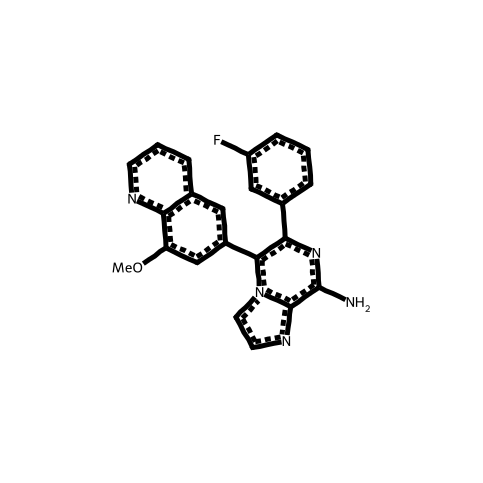 COc1cc(-c2c(-c3cccc(F)c3)nc(N)c3nccn23)cc2cccnc12